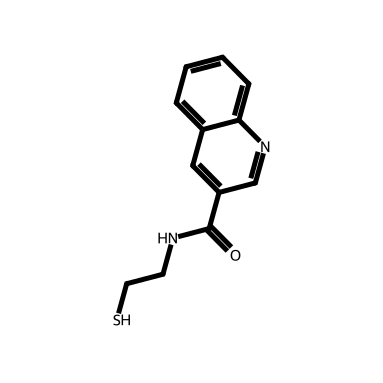 O=C(NCCS)c1cnc2ccccc2c1